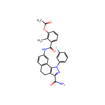 CC(=O)Oc1cccc(C(=O)Nc2ccc3c(c2)-c2c(c(C(N)=O)nn2-c2cccc(F)c2)CC3)c1C